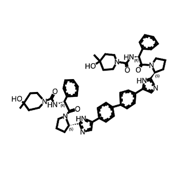 CC1(O)CCN(C(=O)N[C@@H](C(=O)N2CCC[C@H]2c2ncc(-c3ccc(-c4ccc(-c5cnc([C@@H]6CCCN6C(=O)[C@H](NC(=O)N6CCC(C)(O)CC6)c6ccccc6)[nH]5)cc4)cc3)[nH]2)c2ccccc2)CC1